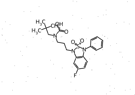 CC(C)(C)CN(CCCN1c2cc(F)ccc2N(c2ccccc2)S1(=O)=O)C(=O)O